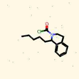 CCCCCC1c2ccccc2CCN1C(=O)Cl